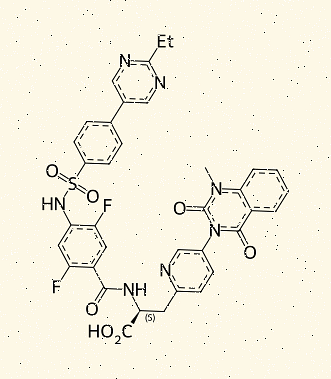 CCc1ncc(-c2ccc(S(=O)(=O)Nc3cc(F)c(C(=O)N[C@@H](Cc4ccc(-n5c(=O)c6ccccc6n(C)c5=O)cn4)C(=O)O)cc3F)cc2)cn1